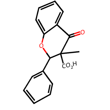 CC1(C(=O)O)C(=O)c2ccccc2OC1c1ccccc1